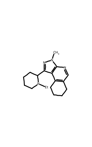 CCN1CCCCC1c1nn(C)c2ncc3c(c12)CCCC3